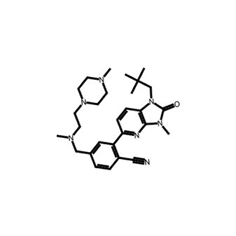 CN1CCN(CCN(C)Cc2ccc(C#N)c(-c3ccc4c(n3)n(C)c(=O)n4CC(C)(C)C)c2)CC1